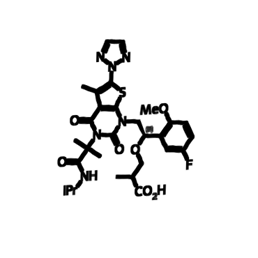 COc1ccc(F)cc1[C@H](Cn1c(=O)n(C(C)(C)C(=O)NC(C)C)c(=O)c2c(C)c(-n3nccn3)sc21)OCC(C)C(=O)O